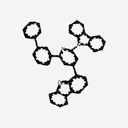 c1ccc(-c2cccc(-c3cc(-c4cccc5c4oc4ccccc45)cc(-n4c5ccccc5c5ccccc54)n3)c2)cc1